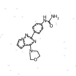 NC(=O)Nc1ccc(-c2nc(N3CCOCC3)c3cccn3n2)cc1